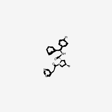 CC(C)c1ccc([C@@H](NC(=O)[C@@H]2C[C@@H](F)CN2C(=O)Cc2cncnc2)c2ccccc2)cc1